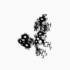 CCCCc1oc2ccccc2c1C(=O)c1cc(I)c(OCCN(CC)CC)c(I)c1.Clc1ccccc1C(c1ccccc1)(c1ccccc1)n1ccnc1.OC(Cn1cncn1)(Cn1cncn1)c1ccc(F)cc1F